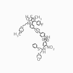 Cc1c(C(=O)NCCCN2CCN(C)CC2)c(-c2cccc(N3CCN(c4ccc(NS(=O)(=O)c5ccc(NC(CCN6CCOCC6)CSc6ccccc6)c([N+](=O)[O-])c5)cc4)CC3)c2)c(-c2ccc(F)cc2)n1C